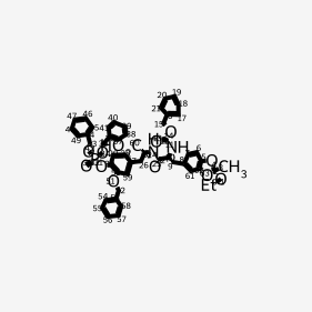 CCOC1(C)Oc2ccc(C[C@H](NC(=O)OCc3ccccc3)C(=O)N[C@@H](Cc3ccc(OP(=O)(OCc4ccccc4)OCc4ccccc4)c(OCc4ccccc4)c3)C(=O)O)cc2O1